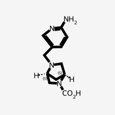 Nc1ccc(CN2C[C@@H]3C[C@H]2CN3C(=O)O)cn1